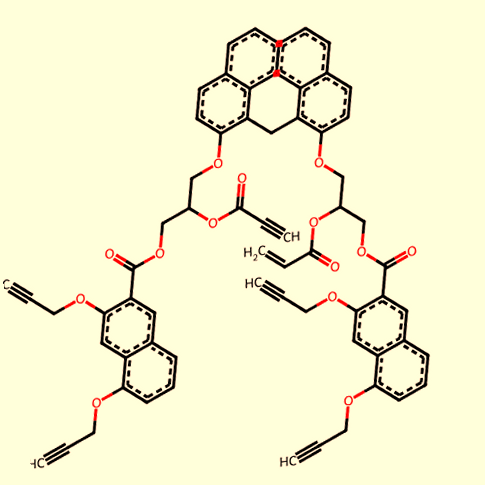 C#CCOc1cc2c(OCC#C)cccc2cc1C(=O)OCC(COc1ccc2ccccc2c1Cc1c(OCC(COC(=O)c2cc3cccc(OCC#C)c3cc2OCC#C)OC(=O)C=C)ccc2ccccc12)OC(=O)C#C